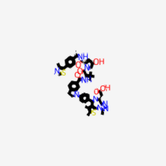 Cc1ncsc1-c1ccc([C@H](C)NC(=O)[C@@H]2C[C@@H](O)CN2C(=O)[C@@H](NC(=O)c2ccc3c(c2)N(c2ccc(C4=N[C@@H](CC(=O)O)c5nnc(C)n5-c5sc(C)c(C)c54)cc2)CC3)C(C)(C)C)cc1